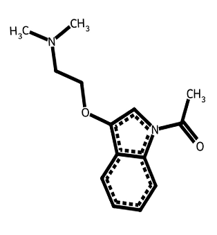 CC(=O)n1cc(OCCN(C)C)c2ccccc21